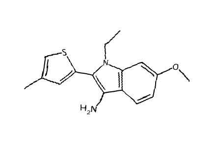 CCn1c(-c2cc(C)cs2)c(N)c2ccc(OC)cc21